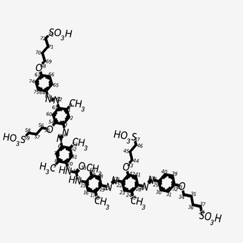 Cc1cc(N=Nc2cc(C)c(NC(=O)Nc3cc(C)c(N=Nc4cc(C)c(N=Nc5ccc(OCCCCS(=O)(=O)O)cc5)cc4OCCCS(=O)(=O)O)cc3C)cc2C)c(OCCCS(=O)(=O)O)cc1N=Nc1ccc(OCCCCS(=O)(=O)O)cc1